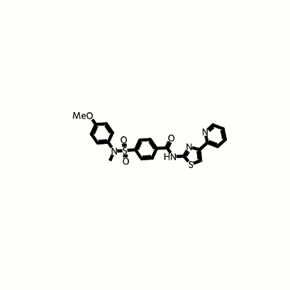 COc1ccc(N(C)S(=O)(=O)c2ccc(C(=O)Nc3nc(-c4ccccn4)cs3)cc2)cc1